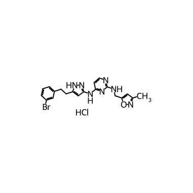 Cc1cc(CNc2nccc(Nc3cc(CCc4cccc(Br)c4)[nH]n3)n2)on1.Cl